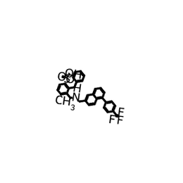 Cc1ccc(S(=O)(=O)O)c(Cc2ccccc2)c1CNCc1ccc2c(-c3ccc(C(F)(F)F)cc3)cccc2c1